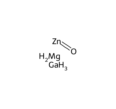 [GaH3].[MgH2].[O]=[Zn]